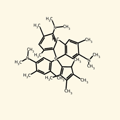 CC1=C(C)C(C)C([Si](c2cc(N(C)C)c(C)cc2C)(c2cc(N(C)C)c(C)cc2C)c2cc(N(C)C)c(C)cc2C)=C1C